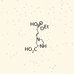 CCOP(=O)(O)CC=CN1CCNC(C(=O)O)C1